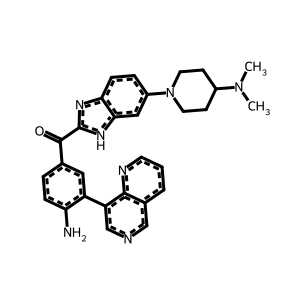 CN(C)C1CCN(c2ccc3nc(C(=O)c4ccc(N)c(-c5cncc6cccnc56)c4)[nH]c3c2)CC1